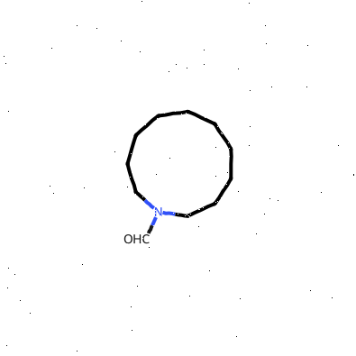 O=CN1CCCCCCCCCC1